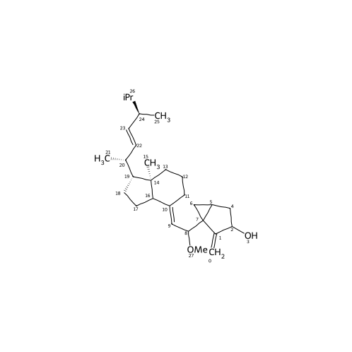 C=C1C(O)CC2CC12C(/C=C1\CCC[C@@]2(C)C1CC[C@@H]2[C@H](C)/C=C/[C@H](C)C(C)C)OC